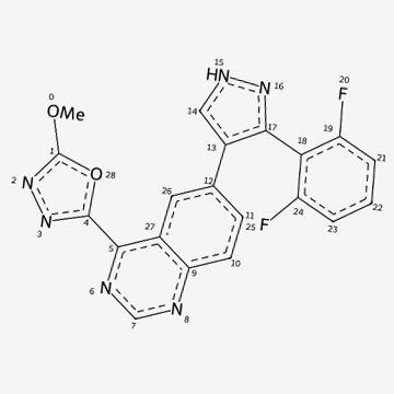 COc1nnc(-c2ncnc3ccc(-c4c[nH]nc4-c4c(F)cccc4F)cc23)o1